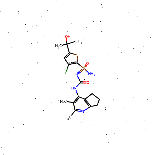 Cc1c(C(F)(F)F)nc2c(c1NC(=O)N=S(N)(=O)c1sc(C(C)(C)O)cc1F)CCC2